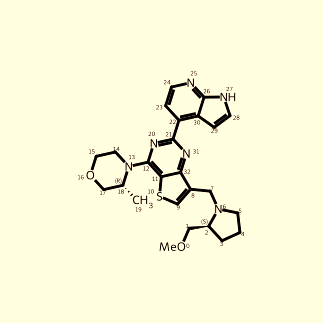 COC[C@@H]1CCCN1Cc1csc2c(N3CCOC[C@H]3C)nc(-c3ccnc4[nH]ccc34)nc12